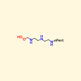 CCCCCNCCNCCNCOO